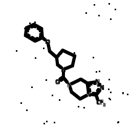 O=C(N1CCn2c(nnc2C(F)(F)F)C1)N1CCCC(COc2ccccc2)C1